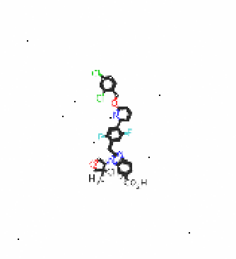 CC1(C)COC[C@H]1n1c(Cc2cc(F)c(-c3cccc(OCc4ccc(Cl)cc4Cl)n3)cc2F)nc2ccc(C(=O)O)cc21